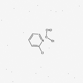 CCOC=O.Clc1ccccn1